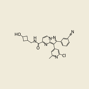 Cc1cc(-c2c(-c3cccc(C#N)c3)nn3ccc(C(=O)NCC4CC(O)C4)nc23)cc(Cl)n1